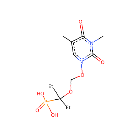 CCC(CC)(OCOn1cc(C)c(=O)n(C)c1=O)P(=O)(O)O